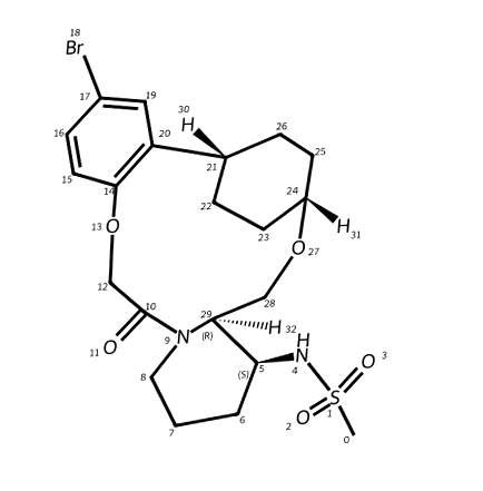 CS(=O)(=O)N[C@H]1CCCN2C(=O)COc3ccc(Br)cc3[C@H]3CC[C@H](CC3)OC[C@@H]12